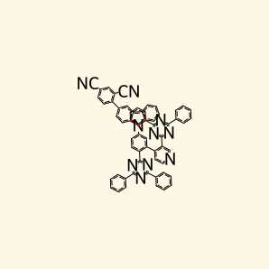 N#Cc1ccc(-c2ccc3c(c2)c2ccccc2n3-c2ccc(-c3nc(-c4ccccc4)nc(-c4ccccc4)n3)c(-c3ccncc3-c3nc(-c4ccccc4)nc(-c4ccccc4)n3)c2)c(C#N)c1